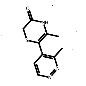 CC1=C(c2ccnnc2C)SCC(=O)N1